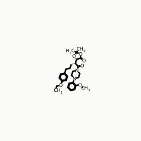 CCOc1ccc(CCC[C@@H](C(=O)N2CCN(c3ccccc3OC)CC2)[C@@H]2OC(C)(C)OC2=O)cc1